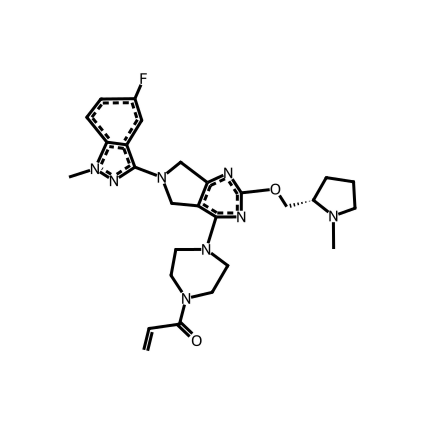 C=CC(=O)N1CCN(c2nc(OC[C@@H]3CCCN3C)nc3c2CN(c2nn(C)c4ccc(F)cc24)C3)CC1